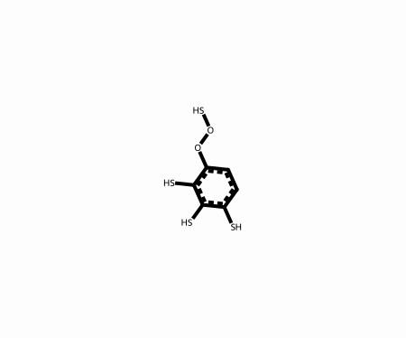 SOOc1ccc(S)c(S)c1S